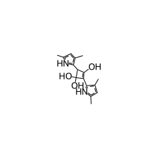 Cc1cc(C)c(C2=C(O)C(c3[nH]c(C)cc3C)C2(O)O)[nH]1